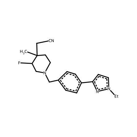 CCn1ccc(-c2ccc(CN3CCC(C)(CC#N)C(F)C3)cc2)n1